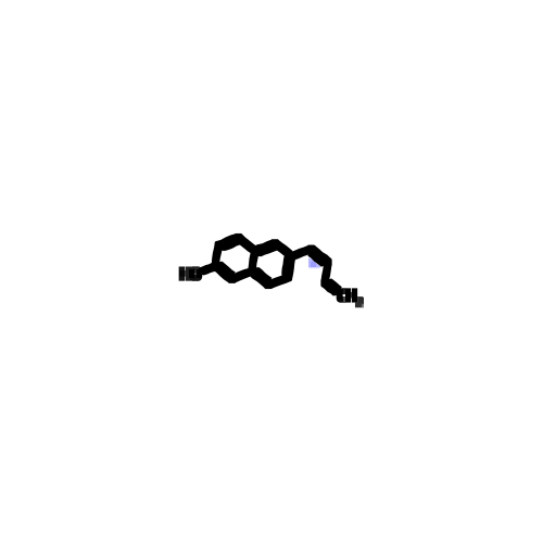 C=C/C=C\c1ccc2cc(O)ccc2c1